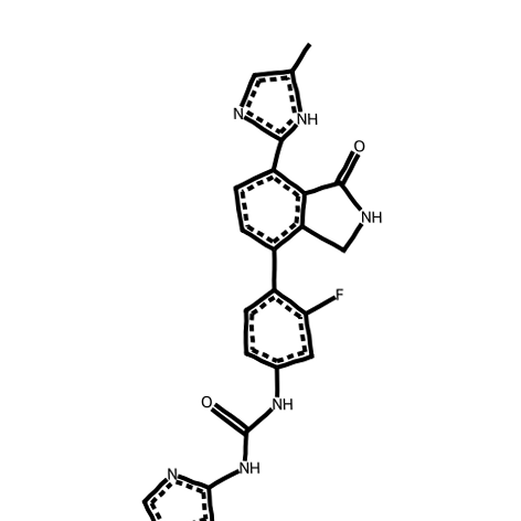 Cc1cnc(-c2ccc(-c3ccc(NC(=O)Nc4c[nH]cn4)cc3F)c3c2C(=O)NC3)[nH]1